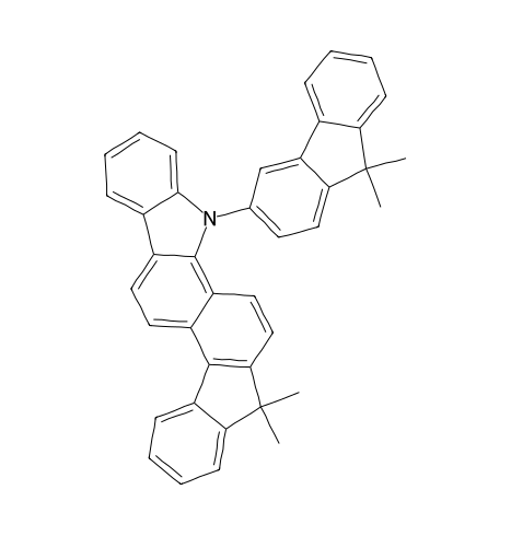 CC1(C)c2ccccc2-c2cc(-n3c4ccccc4c4ccc5c6c(ccc5c43)C(C)(C)c3ccccc3-6)ccc21